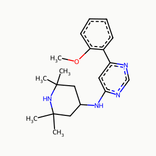 COc1ccccc1-c1cc(NC2CC(C)(C)NC(C)(C)C2)ncn1